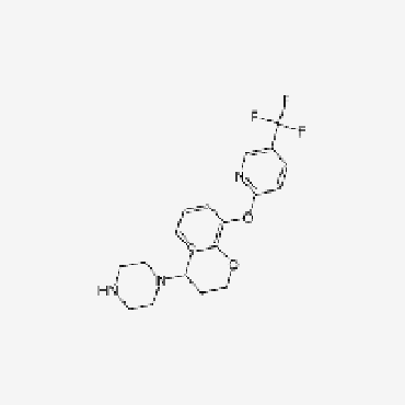 FC(F)(F)c1ccc(Oc2cccc3c2OCCC3N2CCNCC2)nc1